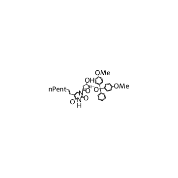 CCCCCC=Cc1cn([C@@H]2CC(O)[C@H](COC(c3ccccc3)(c3ccc(OC)cc3)c3ccc(OC)cc3)O2)c(=O)[nH]c1=O